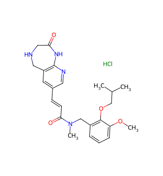 COc1cccc(CN(C)C(=O)/C=C/c2cnc3c(c2)CNCC(=O)N3)c1OCC(C)C.Cl